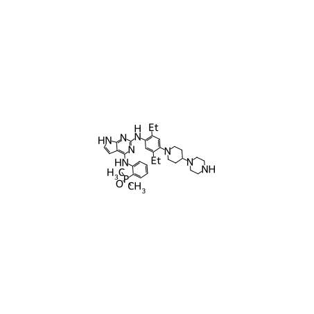 CCc1cc(N2CCC(N3CCNCC3)CC2)c(CC)cc1Nc1nc(Nc2ccccc2P(C)(C)=O)c2cc[nH]c2n1